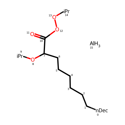 CCCCCCCCCCCCCCCCC(OC(C)C)C(=O)OOC(C)C.[AlH3]